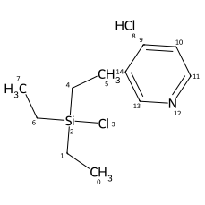 CC[Si](Cl)(CC)CC.Cl.c1ccncc1